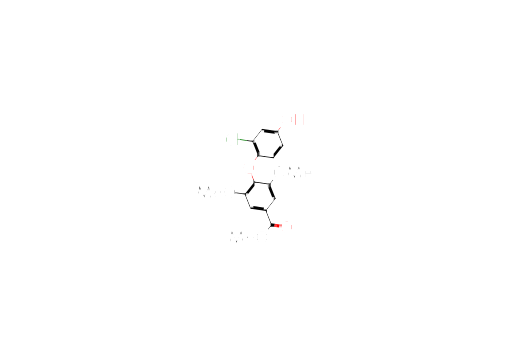 COC(=O)c1cc(OC)c(Oc2ccc(O)cc2Cl)c(OC)c1